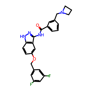 O=C(Nc1n[nH]c2ccc(OCc3cc(F)cc(F)c3)cc12)c1cccc(CN2CCC2)c1